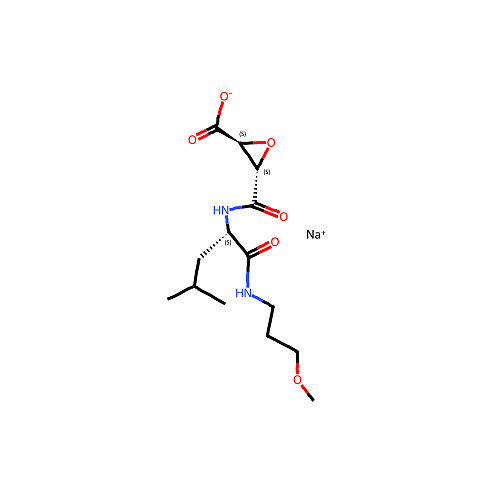 COCCCNC(=O)[C@H](CC(C)C)NC(=O)[C@H]1O[C@@H]1C(=O)[O-].[Na+]